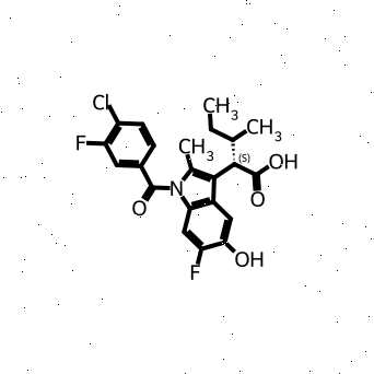 CCC(C)[C@H](C(=O)O)c1c(C)n(C(=O)c2ccc(Cl)c(F)c2)c2cc(F)c(O)cc12